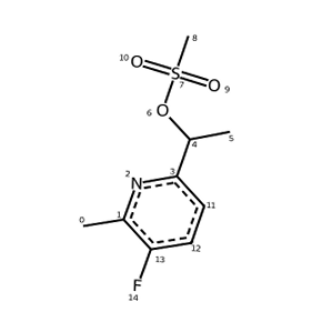 Cc1nc(C(C)OS(C)(=O)=O)ccc1F